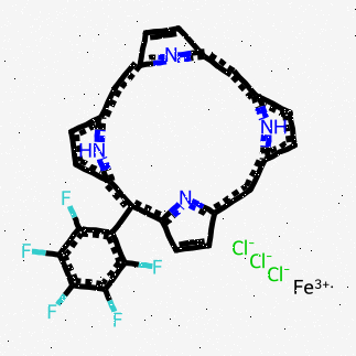 Fc1c(F)c(F)c(-c2c3nc(cc4ccc(cc5nc(cc6ccc2[nH]6)C=C5)[nH]4)C=C3)c(F)c1F.[Cl-].[Cl-].[Cl-].[Fe+3]